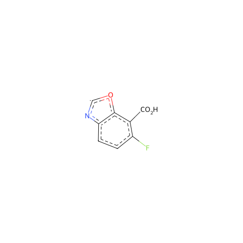 O=C(O)c1c(F)ccc2n[c]oc12